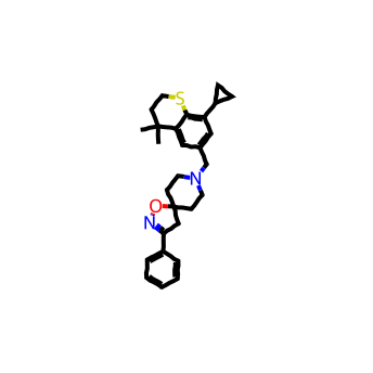 CC1(C)CCSc2c(C3CC3)cc(CN3CCC4(CC3)CC(c3ccccc3)=NO4)cc21